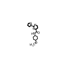 COC1CCC(NC(=O)c2ccnc(-n3cccn3)n2)CC1